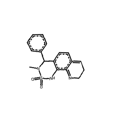 CN1C(c2ccccc2)c2ccc3c(c2NS1(=O)=O)=NCCC=3